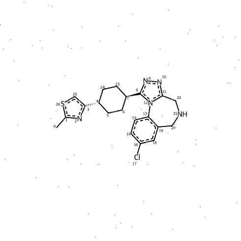 Cc1nc([C@H]2CC[C@H](c3nnc4n3-c3ccc(Cl)cc3CNC4)CC2)cs1